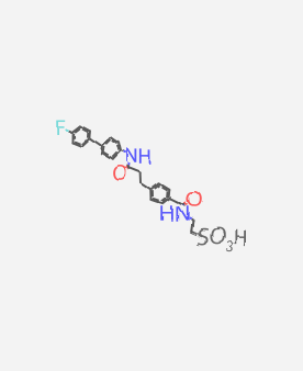 O=C(CCc1ccc(C(=O)NCCS(=O)(=O)O)cc1)Nc1ccc(-c2ccc(F)cc2)cc1